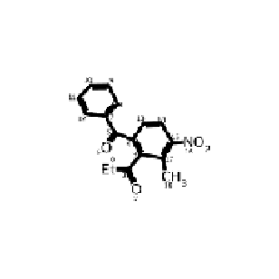 CCC(=O)c1c(C(=O)c2ccccc2)ccc([N+](=O)[O-])c1C